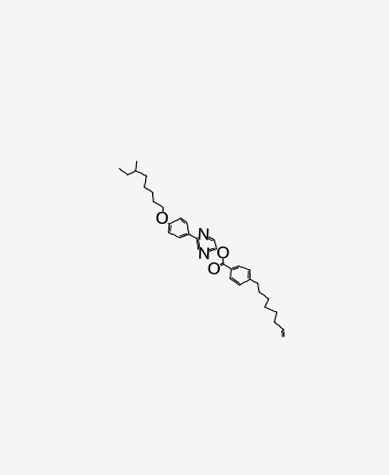 C=CCCCCCCc1ccc(C(=O)Oc2cnc(-c3ccc(OCCCCCC(C)CC)cc3)cn2)cc1